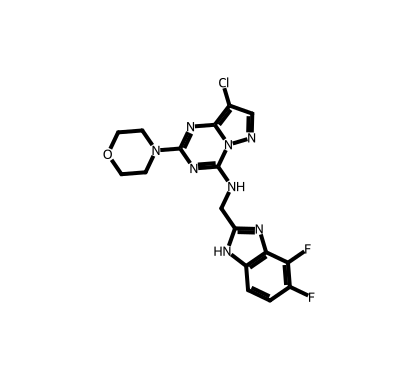 Fc1ccc2[nH]c(CNc3nc(N4CCOCC4)nc4c(Cl)cnn34)nc2c1F